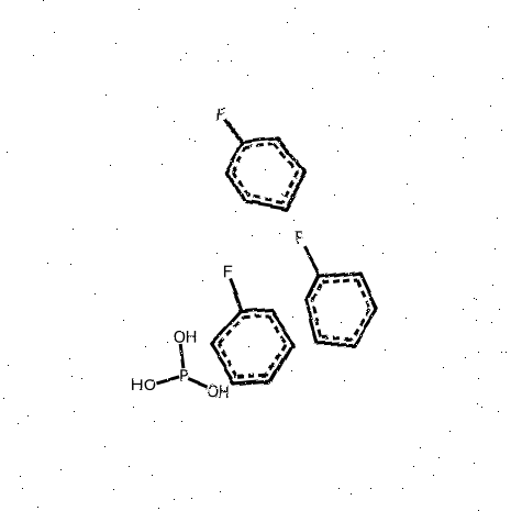 Fc1ccccc1.Fc1ccccc1.Fc1ccccc1.OP(O)O